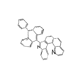 c1ccc(-c2c3ccccc3c(-c3nc4ccccc4c4c3ccc3ccc5cccnc5c34)c3ccccc23)cc1